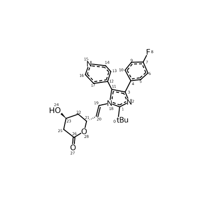 CC(C)(C)c1nc(-c2ccc(F)cc2)c(-c2ccncc2)n1C=C[C@H]1C[C@H](O)CC(=O)O1